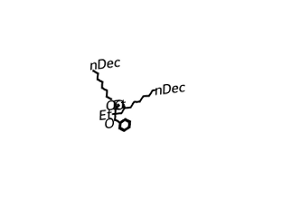 CCCCCCCCCCCCCCCCCCOC(=O)C(CC)(CC(CC)CCCCCCCCCCCCCCCC)C(=O)c1ccccc1